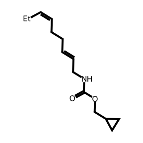 CC/C=C\CC/C=C/CNC(=O)OCC1CC1